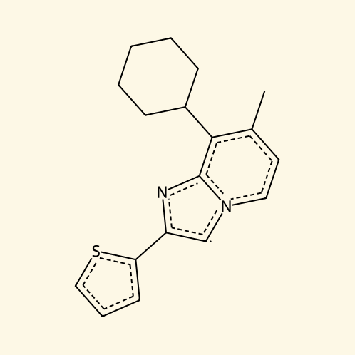 Cc1ccn2[c]c(-c3cccs3)nc2c1C1CCCCC1